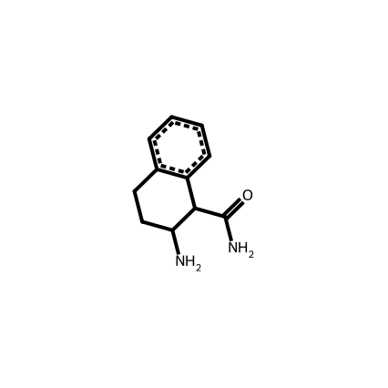 NC(=O)C1c2ccccc2CCC1N